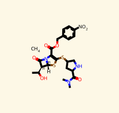 C.CC(O)[C@H]1C(=O)N2C(C(=O)OCc3ccc([N+](=O)[O-])cc3)=C(SC3CNC(C(=O)N(C)C)C3)S[C@H]12